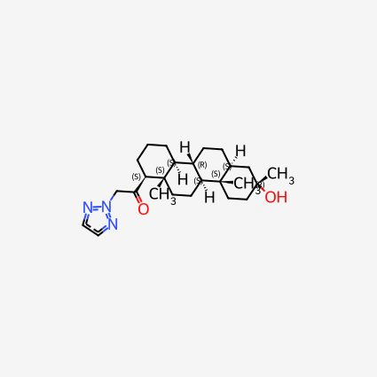 C[C@@]1(O)CC[C@@]2(C)[C@@H](CC[C@@H]3[C@@H]2CC[C@]2(C)[C@@H](C(=O)Cn4nccn4)CCC[C@@H]32)C1